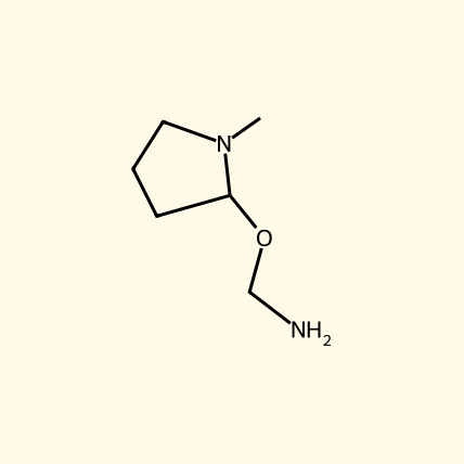 CN1CCCC1OCN